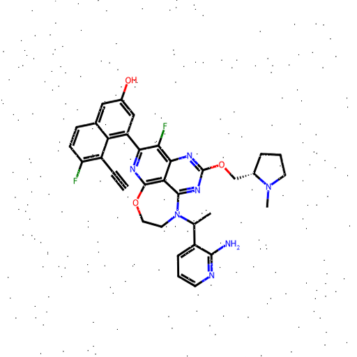 C#Cc1c(F)ccc2cc(O)cc(-c3nc4c5c(nc(OC[C@@H]6CCCN6C)nc5c3F)N(C(C)c3cccnc3N)CCO4)c12